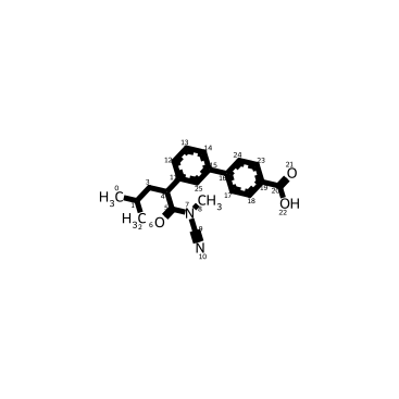 CC(C)CC(C(=O)N(C)C#N)c1cccc(-c2ccc(C(=O)O)cc2)c1